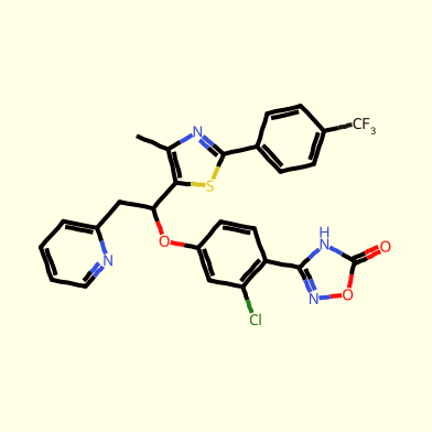 Cc1nc(-c2ccc(C(F)(F)F)cc2)sc1C(Cc1ccccn1)Oc1ccc(-c2noc(=O)[nH]2)c(Cl)c1